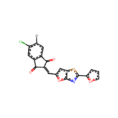 CCc1cc2c(cc1Cl)C(=O)/C(=C/c1cc3sc(-c4ccco4)nc3o1)C2=O